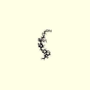 CCc1cc2c(s1)CCOC21CCN(Cc2ccc(C(=O)NCCOCCO)nc2)CC1